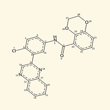 O=C(Nc1ccc(Cl)c(-c2cnc3ccccc3n2)c1)c1cccc2c1OCCO2